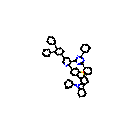 c1ccc(-c2nc(-c3ccccc3)nc(-c3cc(-c4ccc(-c5ccccc5)c(-c5ccccc5)c4)cnc3-c3ccc4c(c3)sc3ccc5c6ccccc6n(-c6ccccc6)c5c34)n2)cc1